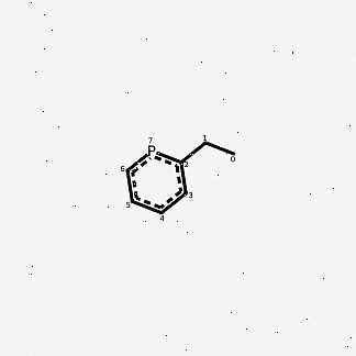 CCc1ccccp1